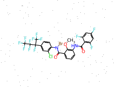 COc1c(NC(=O)c2c(F)cc(F)cc2F)cccc1C(=O)N(Br)c1ccc(C(F)(C(F)(F)F)C(F)(F)C(F)(F)F)cc1Cl